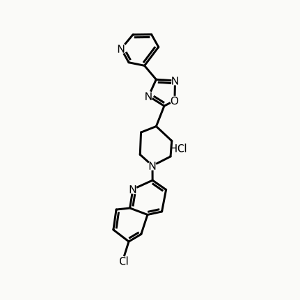 Cl.Clc1ccc2nc(N3CCC(c4nc(-c5cccnc5)no4)CC3)ccc2c1